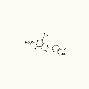 CC1NCc2cc(-c3cc4c(cc3F)c(=O)c(C(=O)O)cn4C3CC3)ccc21